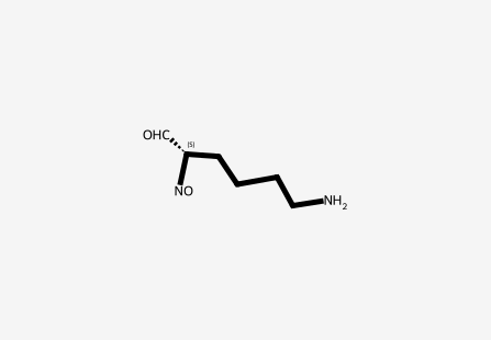 NCCCC[C@@H](C=O)N=O